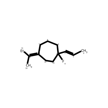 C/C=C/C1(F)CCC/C(=C(/C)CC)CC1